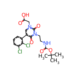 CC(C)(C)OC(=O)NCCn1c(=O)c(-c2cccc(Cl)c2Cl)cn(CC(=O)O)c1=O